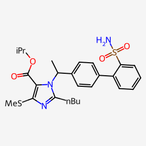 CCCCc1nc(SC)c(C(=O)OC(C)C)n1C(C)c1ccc(-c2ccccc2S(N)(=O)=O)cc1